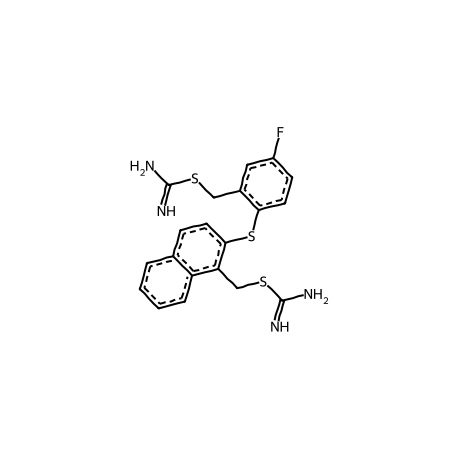 N=C(N)SCc1cc(F)ccc1Sc1ccc2ccccc2c1CSC(=N)N